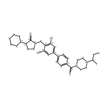 CCC(C)N1CCN(C(=O)c2ccc(-c3cc(Cl)c(CN4CCC(C5CCCCC5)C4=O)c(Cl)c3)cc2)CC1